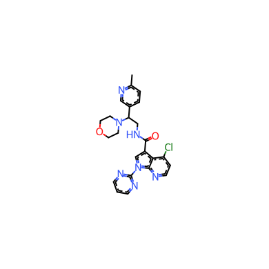 Cc1ccc(C(CNC(=O)c2cn(-c3ncccn3)c3nccc(Cl)c23)N2CCOCC2)cn1